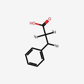 [2H]C(c1ccccc1)C([2H])([2H])C(=O)O